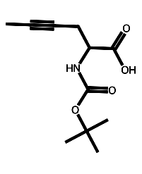 CC#CCC(NC(=O)OC(C)(C)C)C(=O)O